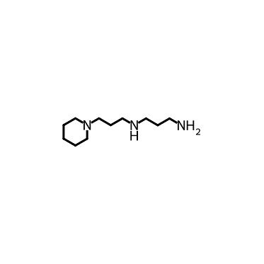 NCCCNCCCN1CCCCC1